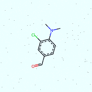 CN(C)c1ccc(C=O)cc1Cl